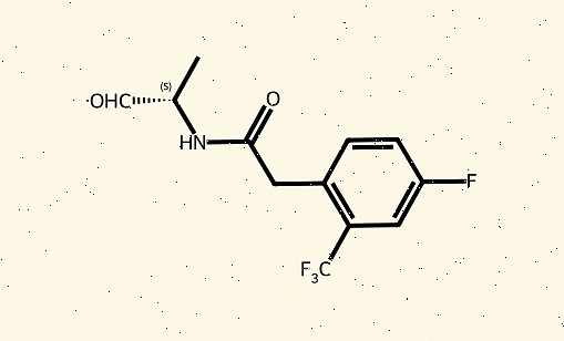 C[C@@H]([C]=O)NC(=O)Cc1ccc(F)cc1C(F)(F)F